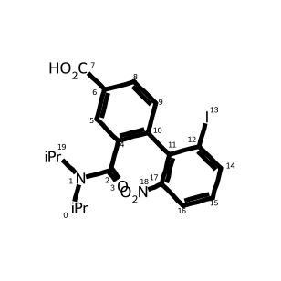 CC(C)N(C(=O)c1cc(C(=O)O)ccc1-c1c(I)cccc1[N+](=O)[O-])C(C)C